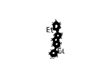 CCc1ccccc1-c1[c]c2c(cc1)-c1ccc(-c3ccccc3CC)cc1C2